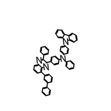 c1ccc(-c2cccc(-c3cccc4nc(-c5ccccc5)c(-c5ccc(N(c6ccccc6)c6ccc(-n7c8ccccc8c8ccccc87)cc6)cc5)nc34)c2)cc1